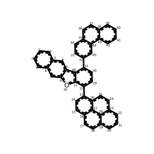 c1ccc2cc3c(cc2c1)oc1c(-c2ccc4ccc5cccc6ccc2c4c56)ccc(-c2ccc4ccc5ccccc5c4c2)c13